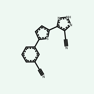 N#Cc1cccc(-c2ccc(-c3n[nH]nc3C#N)s2)c1